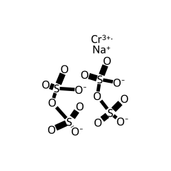 O=S(=O)([O-])OS(=O)(=O)[O-].O=S(=O)([O-])OS(=O)(=O)[O-].[Cr+3].[Na+]